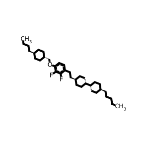 CCCCC[C@H]1CC[C@H]([C@H]2CC[C@H](CCc3ccc(OC[C@H]4CC[C@H](CCCC)CC4)c(F)c3F)CC2)CC1